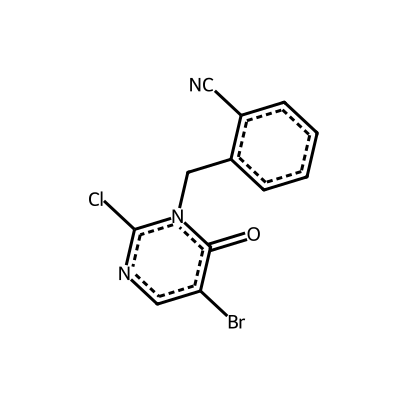 N#Cc1ccccc1Cn1c(Cl)ncc(Br)c1=O